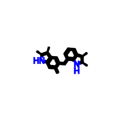 Cc1cc2c(cc1Cc1cccc3c1N[C@H](C)[C@@H]3C)[C@H](C)[C@H](C)N2